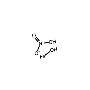 O=[N+]([O-])O.[OH][Fe]